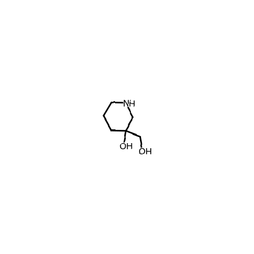 OCC1(O)CCCNC1